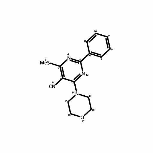 [C-]#[N+]c1c(SC)nc(-c2ccccc2)nc1N1CCOCC1